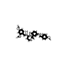 COc1ccc(CNc2ccc(F)c(C3(C)N=C(NCc4ccc(OC)cc4OC)CCS3)c2)cc1